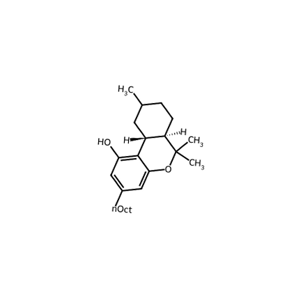 CCCCCCCCc1cc(O)c2c(c1)OC(C)(C)[C@@H]1CCC(C)C[C@@H]21